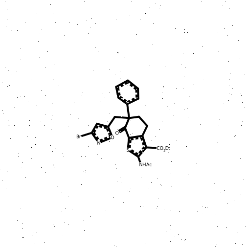 CCOC(=O)c1c(NC(C)=O)sc2c1CCC(Cc1cc(Br)no1)(c1ccccc1)C2=O